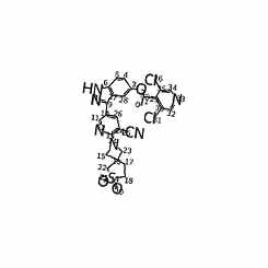 C[C@@H](Oc1ccc2[nH]nc(-c3cnc(N4CC5(CCS(=O)(=O)C5)C4)c(C#N)c3)c2c1)c1c(Cl)cncc1Cl